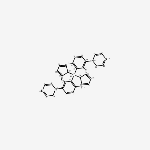 Fc1ccc(N2C=CN=CC2)c(F)[c]1[Ti]([c]1c(F)ccc(N2C=CN=CC2)c1F)([CH]1C=CC=C1)[CH]1C=CC=C1